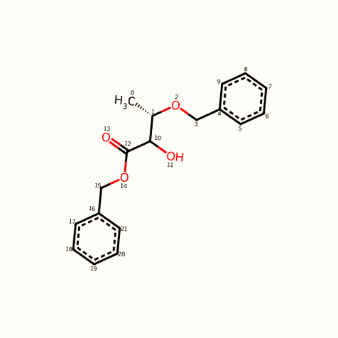 C[C@H](OCc1ccccc1)C(O)C(=O)OCc1ccccc1